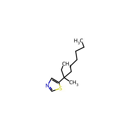 CCCCCCC(C)(CC)c1cncs1